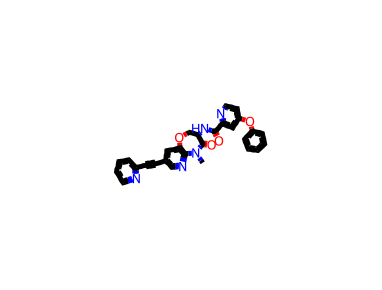 CN1C(=O)C(NC(=O)c2cc(Oc3ccccc3)ccn2)COc2cc(C#Cc3ccccn3)cnc21